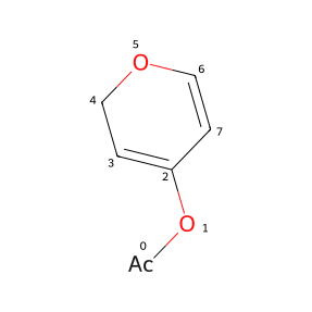 CC(=O)OC1=CCOC=C1